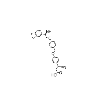 N#CC(CC(=O)O)c1ccc(OCc2ccc(OCC(=N)c3ccc4c(c3)CCC4)cc2)cc1